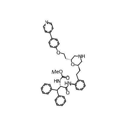 COC(=O)N[C@H](C(=O)Nc1ccccc1CC[C@@H]1CNC[C@@H](CCOc2ccc(-c3ccncc3)cc2)O1)C(c1ccccc1)c1ccccc1